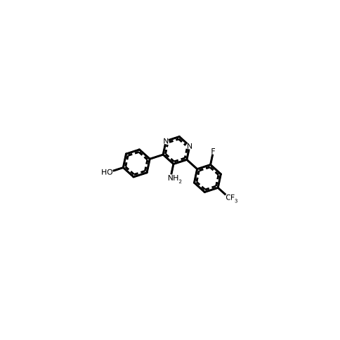 Nc1c(-c2ccc(O)cc2)ncnc1-c1ccc(C(F)(F)F)cc1F